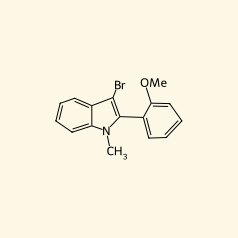 COc1ccccc1-c1c(Br)c2ccccc2n1C